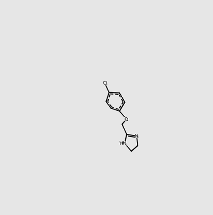 Clc1ccc(OCC2=NCCN2)cc1